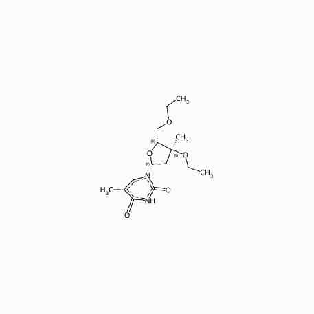 CCOC[C@H]1O[C@@H](n2cc(C)c(=O)[nH]c2=O)C[C@]1(C)OCC